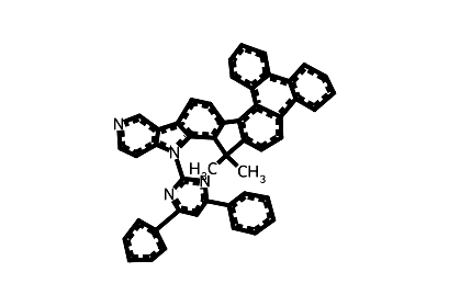 CC1(C)c2ccc3c4ccccc4c4ccccc4c3c2-c2ccc3c4cnccc4n(-c4nc(-c5ccccc5)cc(-c5ccccc5)n4)c3c21